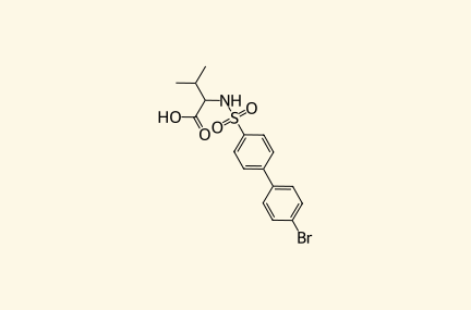 CC(C)C(NS(=O)(=O)c1ccc(-c2ccc(Br)cc2)cc1)C(=O)O